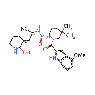 COc1cccc2[nH]c(C(=O)N3CC(C)(C)CC[C@H]3C(=O)N[C@H](C#N)C[C@@H]3CCCNC3O)cc12